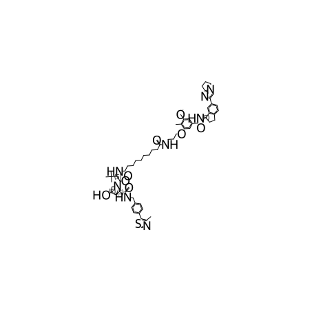 COc1cc(C(=O)N[C@@H]2CCc3ccc(-c4cn5c(n4)CCC5)cc32)cc(OCCCNC(=O)CCCCCCCCC(=O)N[C@H](C(=O)N2C[C@H](O)C[C@H]2C(=O)NCc2ccc(-c3scnc3C)cc2)C(C)(C)C)c1C